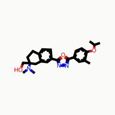 Cc1cc(-c2nnc(-c3ccc4c(c3)CC(CO)(N(C)C)CC4)o2)ccc1OC(C)C